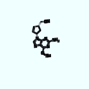 CC[C@H](C)Oc1nc(N)nc2c1ncn2[C@@H]1C=C[C@H](CO)C1